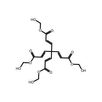 O=C(C=CC(C=CC(=O)OCO)(C=CC(=O)OCO)C=CC(=O)OCO)OCO